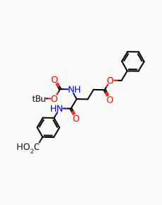 CC(C)(C)OC(=O)NC(CCC(=O)OCc1ccccc1)C(=O)Nc1ccc(C(=O)O)cc1